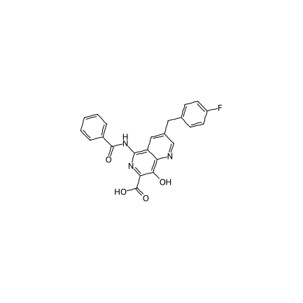 O=C(Nc1nc(C(=O)O)c(O)c2ncc(Cc3ccc(F)cc3)cc12)c1ccccc1